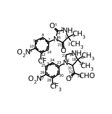 CC1(C)NC(=O)N(c2ccc([N+](=O)[O-])c(C(F)(F)F)c2)C1=O.CC1(C)NCN(c2ccc([N+](=O)[O-])c(C(F)(F)F)c2)C1C(=O)C=O